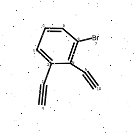 C#Cc1cccc(Br)c1C#C